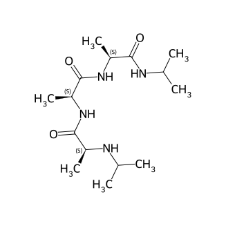 CC(C)NC(=O)[C@H](C)NC(=O)[C@H](C)NC(=O)[C@H](C)NC(C)C